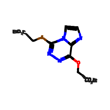 CCOC(=O)COc1nnc(SCC(=O)OCC)n2ccnc12